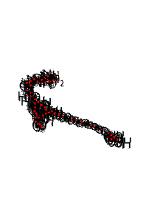 CCCN(CCC)C(=O)C1=Cc2ccc(C(=O)Nc3cnc4c(c3)CN(C(=O)OCc3ccc(NC(=O)[C@H](CCCNC(N)=O)NC(=O)[C@@H](NC(=O)CCc5ccc(N6C(=O)C=CC6=O)cc5C(=O)NCC(=O)NCC(=O)NCCOCCOCCOCCOCCOCCOCCOCCOCCOCCOCCOCCOCCC(=O)N[C@@H](CCC(=O)O)C(=O)O)C(C)C)cc3)CC4)cc2N=C(N)C1